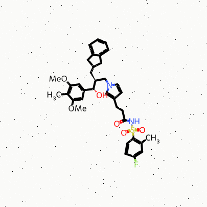 COc1cc([C@@H](O)[C@@H](CC2Cc3ccccc3C2)Cn2ccc(CCC(=O)NS(=O)(=O)c3ccc(F)cc3C)c2)cc(OC)c1C